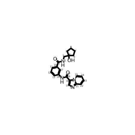 O=C(NCC1(O)CCCC1)c1cccc(NC(=O)c2cnc3ccccn23)c1